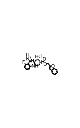 Cl.NC1=NC2(CCN(C(=O)OCc3cc4ccccc4o3)CC2)Nc2cccc(F)c21